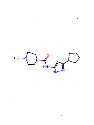 CN1CCN(C(=O)Nc2cc(C3CCCC3)n[nH]2)CC1